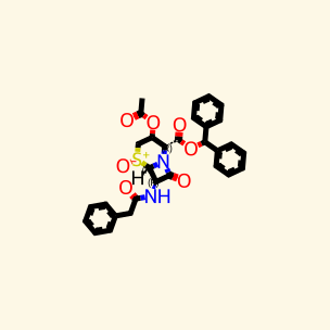 CC(=O)OC1C[S+]([O-])[C@@H]2[C@H](NC(=O)Cc3ccccc3)C(=O)N2[C@H]1C(=O)OC(c1ccccc1)c1ccccc1